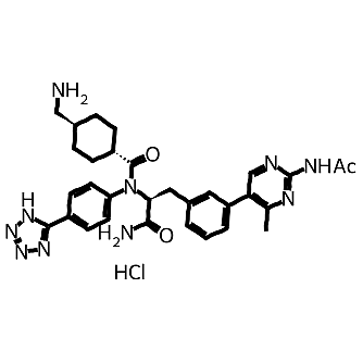 CC(=O)Nc1ncc(-c2cccc(C[C@@H](C(N)=O)N(c3ccc(-c4nnn[nH]4)cc3)C(=O)[C@H]3CC[C@H](CN)CC3)c2)c(C)n1.Cl